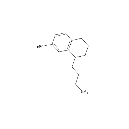 CCCc1ccc2c(c1)C(CCCN)CCC2